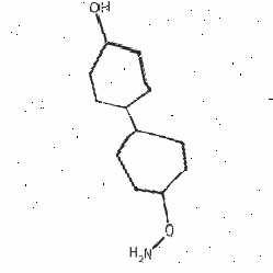 NOC1CCC(C2CCC(O)CC2)CC1